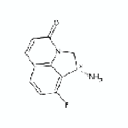 N[C@H]1Cn2c(=O)ccc3ccc(F)c1c32